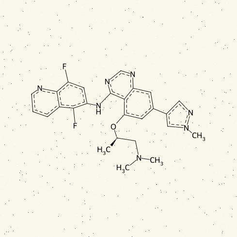 C[C@H](CN(C)C)Oc1cc(-c2cnn(C)c2)cc2ncnc(Nc3cc(F)c4ncccc4c3F)c12